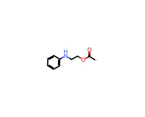 [CH2]C(=O)OCCNc1ccccc1